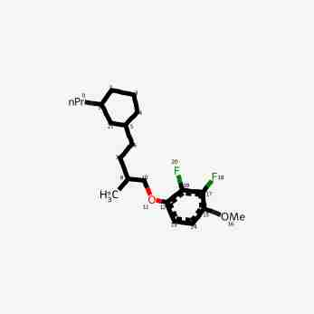 CCCC1CCCC(CCC(C)COc2ccc(OC)c(F)c2F)C1